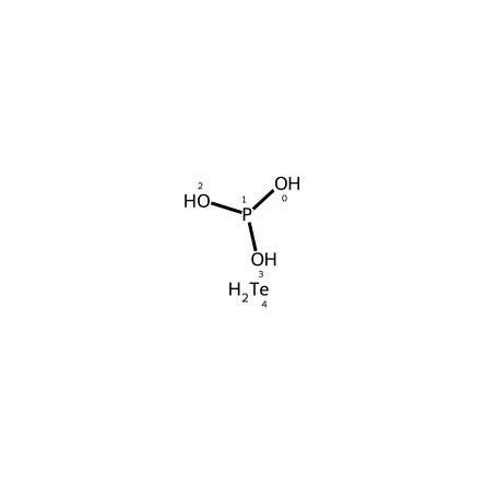 OP(O)O.[TeH2]